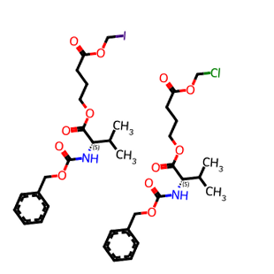 CC(C)[C@H](NC(=O)OCc1ccccc1)C(=O)OCCCC(=O)OCCl.CC(C)[C@H](NC(=O)OCc1ccccc1)C(=O)OCCCC(=O)OCI